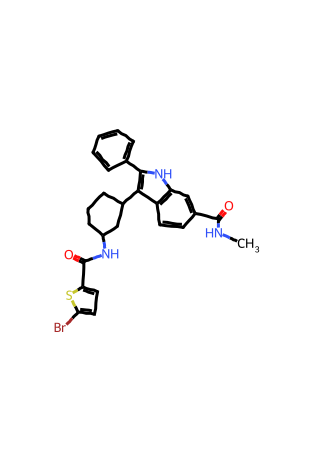 CNC(=O)c1ccc2c(C3CCCC(NC(=O)c4ccc(Br)s4)C3)c(-c3ccccc3)[nH]c2c1